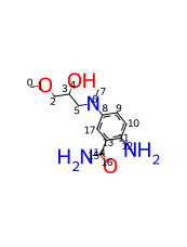 COCC(O)CN(C)c1ccc(N)c(C(N)=O)c1